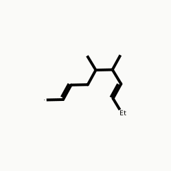 [CH2]C=CCC(C)C(C)C=CCC